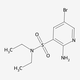 CCN(CC)S(=O)(=O)c1cc(Br)cnc1N